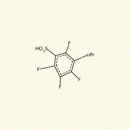 CCCc1c(F)c(F)c(F)c(S(=O)(=O)O)c1F